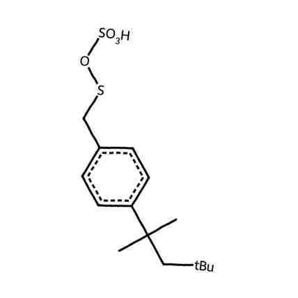 CC(C)(C)CC(C)(C)c1ccc(CSOS(=O)(=O)O)cc1